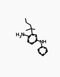 CCCC(C)(C)c1cc(Nc2ccccc2)ccc1N